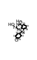 O=C1N[C@@H](CO)Cn2c(-c3ccc(Cl)cc3)nc3cccc1c32